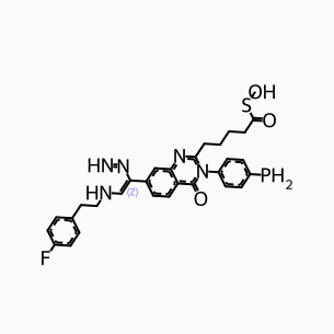 N=N/C(=C\NCCc1ccc(F)cc1)c1ccc2c(=O)n(-c3ccc(P)cc3)c(CCCCC(=O)SO)nc2c1